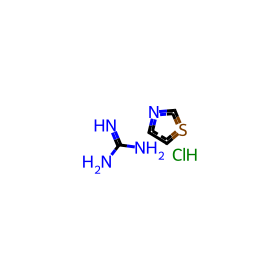 Cl.N=C(N)N.c1cscn1